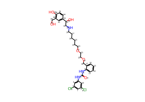 O=C(Nc1cc(Cl)cc(Cl)c1)Nc1ccccc1COCCOCCCCCCNC[C@H](O)c1ccc(O)c(CO)c1